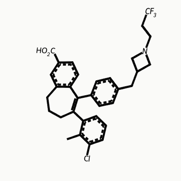 Cc1c(Cl)cccc1C1=C(c2ccc(CC3CN(CCC(F)(F)F)C3)cc2)c2ccc(C(=O)O)cc2CCC1